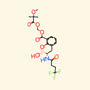 COC(C)(C)C(=O)OCOC(=O)c1cccc2c1OB(O)[C@@H](NC(=O)CCC(F)(F)F)C2